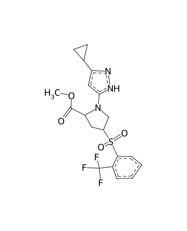 COC(=O)C1CC(S(=O)(=O)c2ccccc2C(F)(F)F)CN1c1cc(C2CC2)n[nH]1